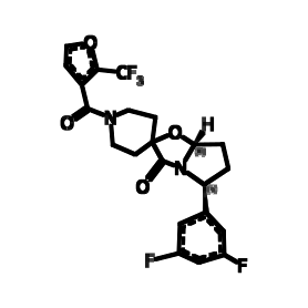 O=C(c1ccoc1C(F)(F)F)N1CCC2(CC1)O[C@@H]1CC[C@@H](c3cc(F)cc(F)c3)N1C2=O